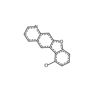 Clc1cccc2oc3cc4ncccc4cc3c12